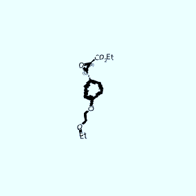 CCOCCOc1ccc([C@@H]2O[C@H]2C(=O)OCC)cc1